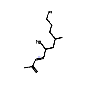 C=C(C)/C=C/C(O)CC(C)CCCO